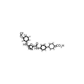 O=C(Nc1ccc(C2CCC(C(=O)O)CC2)cc1)c1nnc(Nc2cccc(OC(F)(F)F)c2)o1